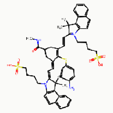 CNC(=O)C1CC(/C=C/C2=[N+](CCCCS(=O)(=O)O)c3ccc4ccccc4c3C2(C)C)=C(Sc2ccc(N)cc2)C(=C/C=C2/N(CCCCS(=O)(=O)O)c3ccc4ccccc4c3C2(C)C)/C1